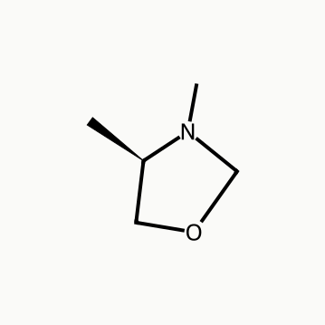 C[C@@H]1COCN1C